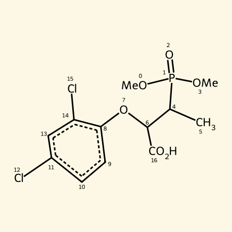 COP(=O)(OC)C(C)C(Oc1ccc(Cl)cc1Cl)C(=O)O